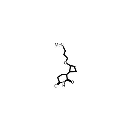 CNCCCOC1[CH]CC1C1CCC(=O)NC1=O